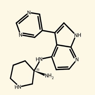 N[C@]1(Nc2ccnc3[nH]cc(-c4cncnc4)c23)CCCNC1